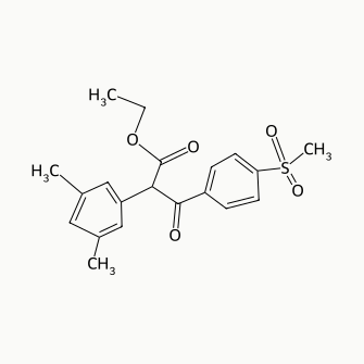 CCOC(=O)C(C(=O)c1ccc(S(C)(=O)=O)cc1)c1cc(C)cc(C)c1